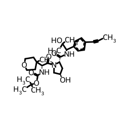 CC#Cc1ccc([C@@H](NC(=O)[C@@H]2C[C@@H](O)CN2C(=O)[C@H](NC(=O)OC(C)(C)C)C2(C)CCOCC2)C(C)(C)O)cc1